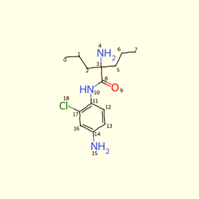 CCCC(N)(CCC)C(=O)Nc1ccc(N)cc1Cl